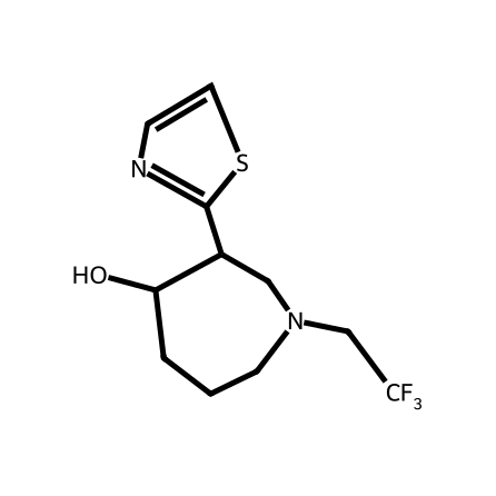 OC1CCCN(CC(F)(F)F)CC1c1nccs1